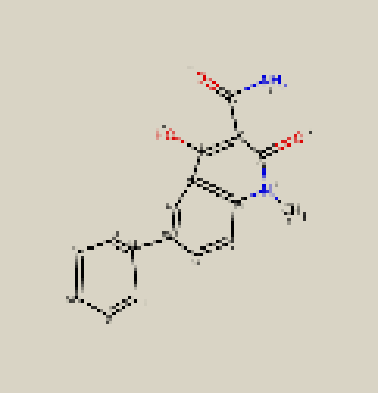 Cn1c(=O)c(C(N)=O)c(O)c2cc(-c3ccccc3)ccc21